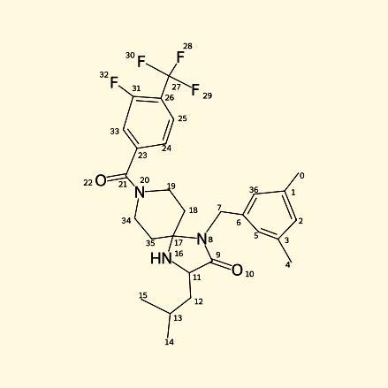 Cc1cc(C)cc(CN2C(=O)C(CC(C)C)NC23CCN(C(=O)c2ccc(C(F)(F)F)c(F)c2)CC3)c1